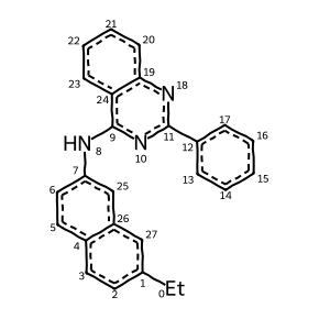 CCc1ccc2ccc(Nc3nc(-c4ccccc4)nc4ccccc34)cc2c1